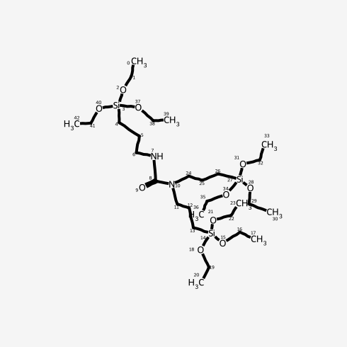 CCO[Si](CCCNC(=O)N(CCC[Si](OCC)(OCC)OCC)CCC[Si](OCC)(OCC)OCC)(OCC)OCC